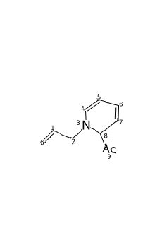 C=CCN1C=CC=CC1C(C)=O